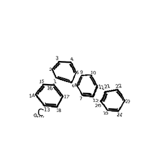 [C].c1ccccc1.c1ccccc1.c1ccccc1.c1ccccc1